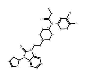 CCC(=O)N(c1ccc(Cl)c(Cl)c1)C1CCN(CCn2c(=O)n(C3CC=CC3)c3ccccc32)CC1